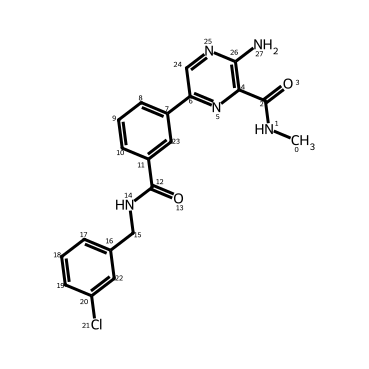 CNC(=O)c1nc(-c2cccc(C(=O)NCc3cccc(Cl)c3)c2)cnc1N